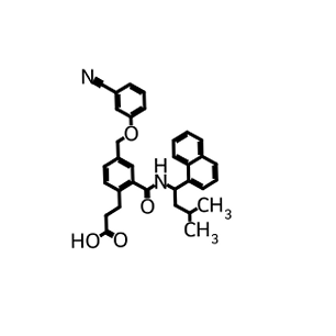 CC(C)CC(NC(=O)c1cc(COc2cccc(C#N)c2)ccc1CCC(=O)O)c1cccc2ccccc12